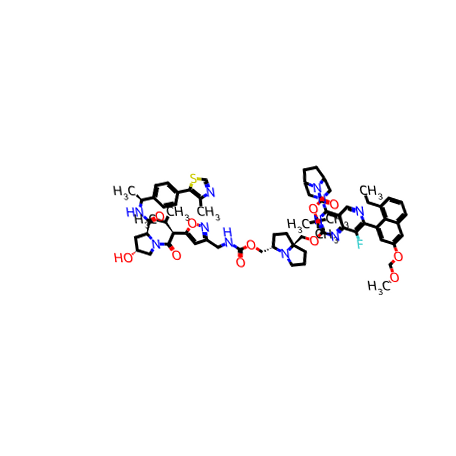 CCc1cccc2cc(OCOC)cc(-c3ncc4c(N5CC6CCC(C5)N6C(=O)OC(C)(C)C)nc(OC[C@@]56CCCN5[C@H](COC(=O)NCc5cc([C@@H](C(=O)N7C[C@H](O)C[C@H]7C(=O)N[C@@H](C)c7ccc(-c8scnc8C)cc7)C(C)C)on5)CC6)nc4c3F)c12